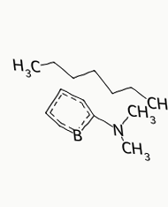 CCCCCCC.CN(C)c1bcccc1